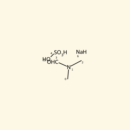 CN(C)C=O.O=S(=O)(O)O.[NaH]